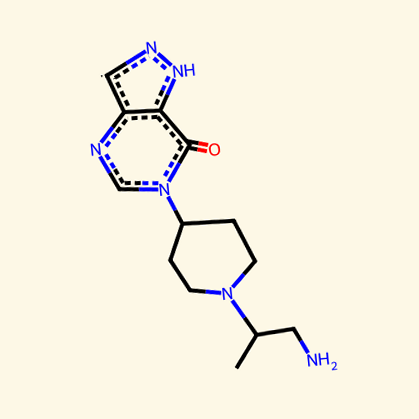 CC(CN)N1CCC(n2cnc3[c]n[nH]c3c2=O)CC1